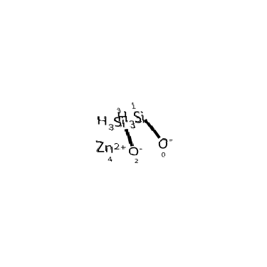 [O-][SiH3].[O-][SiH3].[Zn+2]